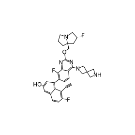 C#Cc1c(F)ccc2cc(O)cc(-c3ccc4c(N5CC6(CNC6)C5)nc(OC[C@@]56CCCN5C[C@H](F)C6)nc4c3F)c12